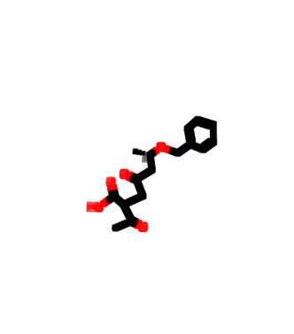 CC(=O)C(CC(=O)C[C@H](C)OCc1ccccc1)C(=O)O